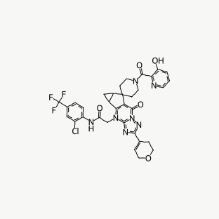 O=C(Cn1c2c(c(=O)n3nc(C4=CCOCC4)nc13)C1(CCN(C(=O)c3ncccc3O)CC1)C1CC21)Nc1ccc(C(F)(F)F)cc1Cl